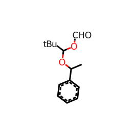 CC(OC(OC=O)C(C)(C)C)c1ccccc1